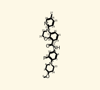 COC1CCN(c2ccc(NC(=O)c3cccc4c3OCCN4c3ccc(C)cn3)cc2F)CC1